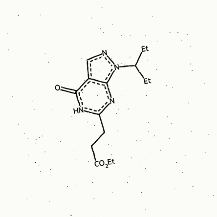 CCOC(=O)CCc1nc2c(cnn2C(CC)CC)c(=O)[nH]1